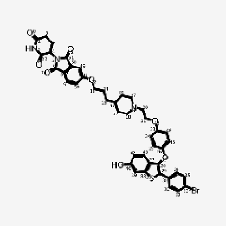 O=C1CCC(N2C(=O)c3ccc(OCCCC4CCN(CCOc5ccc(Oc6c(-c7ccc(Br)cc7)sc7cc(O)ccc67)cc5)CC4)cc3C2=O)C(=O)N1